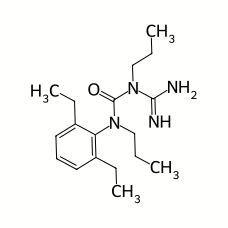 CCCN(C(=N)N)C(=O)N(CCC)c1c(CC)cccc1CC